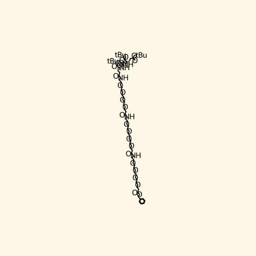 CC(C)(C)OC(=O)CC[C@H](NC(=O)N[C@@H](CCC(=O)NCCOCCOCCOCCOCCC(=O)NCCOCCOCCOCCOCCC(=O)NCCOCCOCCOCCOCCC(=O)OCc1ccccc1)C(=O)OC(C)(C)C)C(=O)OC(C)(C)C